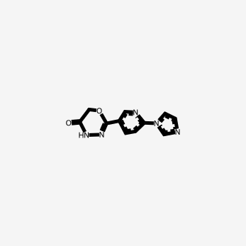 O=C1COC(c2ccc(-n3ccnc3)nc2)=NN1